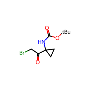 CC(C)(C)OC(=O)NC1(C(=O)CBr)CC1